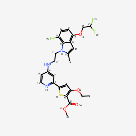 CCOc1cc(-c2cc(NCCn3c(C)cc4c(OCC(F)F)ccc(F)c43)ccn2)sc1C(=O)OC